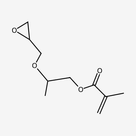 C=C(C)C(=O)OCC(C)OCC1CO1